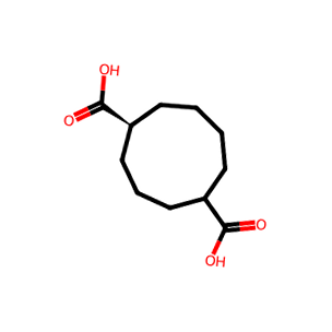 O=C(O)C1CCCC[C@H](C(=O)O)CCC1